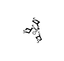 O=P(SC1CSC1)(SC1CSC1)SC1CSC1